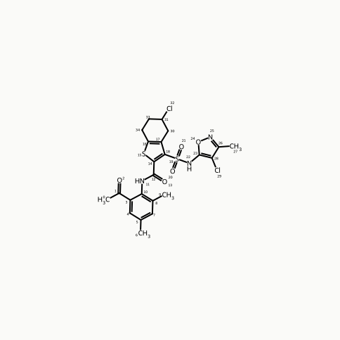 CC(=O)c1cc(C)cc(C)c1NC(=O)c1sc2c(c1S(=O)(=O)Nc1onc(C)c1Cl)CC(Cl)CC2